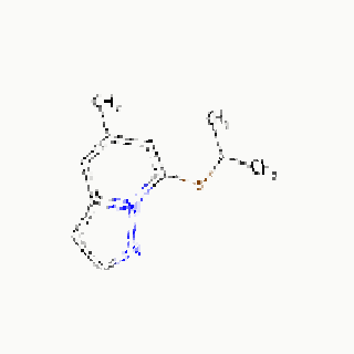 Cc1cc(SC(C)C)n2nccc2c1